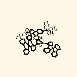 CC(C)(C)c1ccc2c3ccc(C(C)(C)C)cc3c3nc4c(-c5cccc6c5-c5ccccc5C65c6ccccc6-c6ccccc65)sc(-c5cccc6c5-c5ccccc5C65c6ccccc6-c6ccccc65)c4nc3c2c1